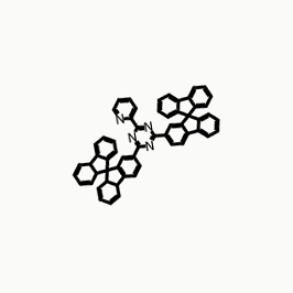 C1=CC2c3ccccc3C3(c4cc(-c5nc(-c6ccc7c(c6)C6(c8ccccc8-c8ccccc86)c6ccccc6-7)nc(-c6ccccn6)n5)ccc4C4C=CC=CC43)C2C=C1